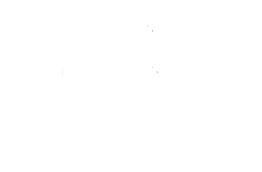 F[B-](F)(F)F.c1ccc2c(c1)ccc1cncn12